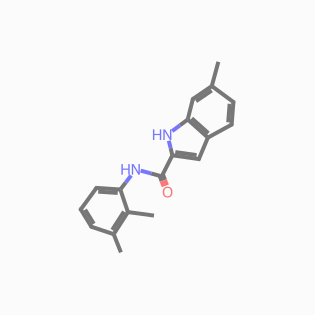 Cc1ccc2cc(C(=O)Nc3cccc(C)c3C)[nH]c2c1